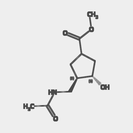 COC(=O)C1C[C@H](CNC(C)=O)[C@@H](O)C1